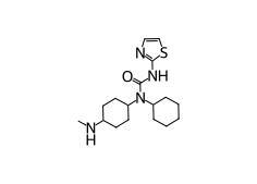 CNC1CCC(N(C(=O)Nc2nccs2)C2CCCCC2)CC1